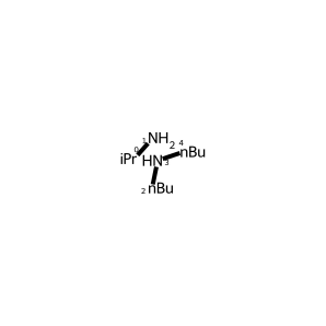 CC(C)N.CCCCNCCCC